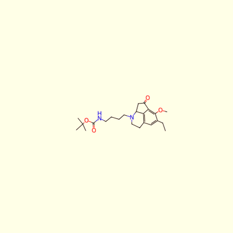 CCc1cc2c3c(c1OC)C(=O)CC3N(CCCCNC(=O)OC(C)(C)C)CC2